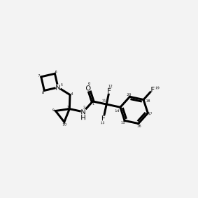 O=C(NC1(CN2CCC2)CC1)C(F)(F)c1cccc(F)c1